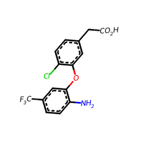 Nc1ccc(C(F)(F)F)cc1Oc1cc(CC(=O)O)ccc1Cl